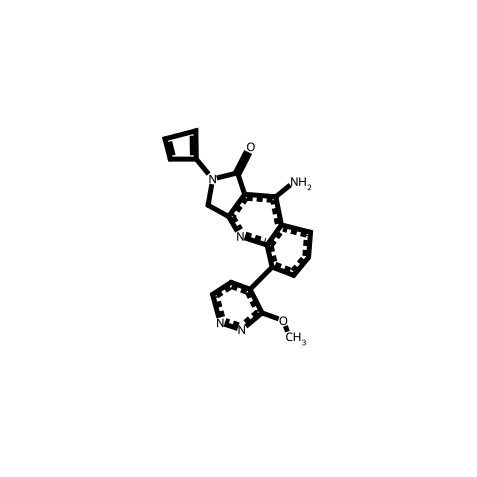 COc1nnccc1-c1cccc2c(N)c3c(nc12)CN(C1=CC=C1)C3=O